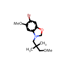 COCC(C)(C)CN1COc2cc(Br)c(OC)cc21